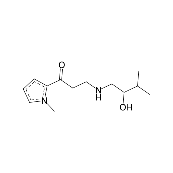 CC(C)C(O)CNCCC(=O)c1cccn1C